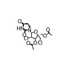 CC(=O)OC[C@@]1(CCl)O[C@@H](n2ccc(=O)[nH]c2=O)[C@H](Cl)[C@@H]1OC(C)=O